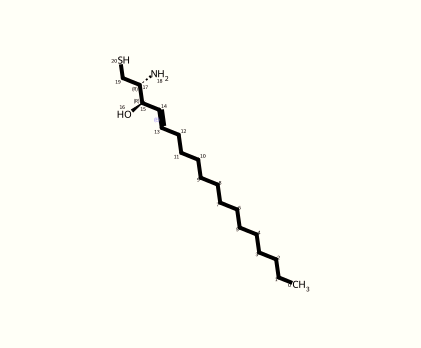 CCCCCCCCCCCCC/C=C/[C@@H](O)[C@@H](N)CS